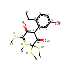 CCc1ccc(Br)cc1C1C(=O)C(SC)=S(C)C(SC)(SC)C1=O